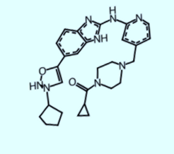 O=C(C1CC1)N1CCN(Cc2ccnc(Nc3nc4ccc(C5=CN(C6CCCC6)NO5)cc4[nH]3)c2)CC1